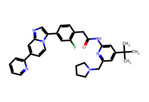 CC(C)(C)c1cc(CN2CCCC2)nc(NC(=O)Cc2ccc(-c3cnc4cc(-c5ccccn5)ccn34)cc2F)c1